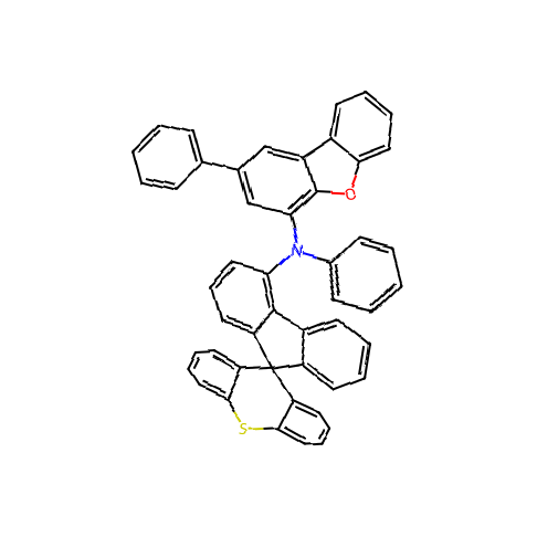 c1ccc(-c2cc(N(c3ccccc3)c3cccc4c3-c3ccccc3C43c4ccccc4Sc4ccccc43)c3oc4ccccc4c3c2)cc1